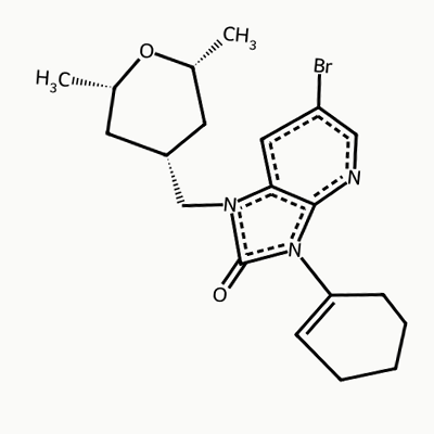 C[C@@H]1C[C@H](Cn2c(=O)n(C3=CCCCC3)c3ncc(Br)cc32)C[C@H](C)O1